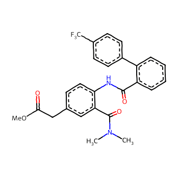 COC(=O)Cc1ccc(NC(=O)c2ccccc2-c2ccc(C(F)(F)F)cc2)c(C(=O)N(C)C)c1